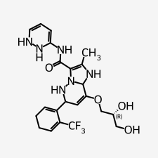 CC1=C(C(=O)NC2=CC=CNN2)N2NC(C3=CCCC=C3C(F)(F)F)C=C(OC[C@H](O)CO)C2N1